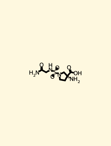 NC(=O)CNS(=O)(=O)N1CC[C@](N)(C(=O)O)C1